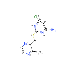 Cc1nccnc1CSc1nc(N)cc(Cl)n1